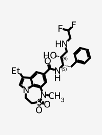 CCc1cn2c3c(cc(C(=O)N[C@@H](Cc4ccccc4)[C@H](O)CNCC(F)F)cc13)N(C)S(=O)(=O)CC2